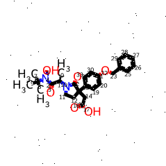 C[C@H](C(=O)N(O)C(C)(C)C)N1CCC(CC(=O)O)(c2ccc(OCc3ccccc3)cc2)C1=O